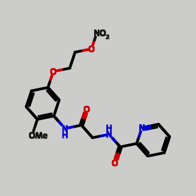 COc1ccc(OCCO[N+](=O)[O-])cc1NC(=O)CNC(=O)c1ccccn1